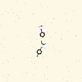 COc1cc(OCC2=C(C)N(O)C(c3ccc(C(F)(F)F)cc3)S2)ccc1-c1noc(=O)[nH]1